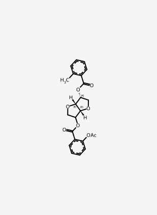 CC(=O)Oc1ccccc1C(=O)OC1CO[C@H]2[C@@H]1OC[C@H]2OC(=O)c1ccccc1C